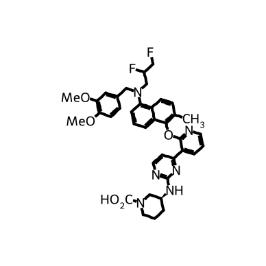 COc1ccc(CN(CC(F)CF)c2cccc3c(Oc4ncccc4-c4ccnc(N[C@H]5CCCN(C(=O)O)C5)n4)c(C)ccc23)cc1OC